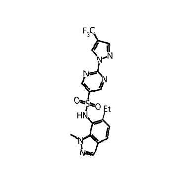 CCc1ccc2cnn(C)c2c1NS(=O)(=O)c1cnc(-n2cc(C(F)(F)F)cn2)nc1